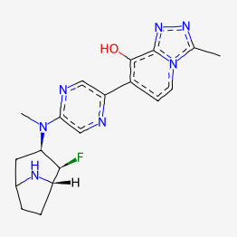 Cc1nnc2c(O)c(-c3cnc(N(C)[C@@H]4CC5CC[C@H](N5)[C@@H]4F)cn3)ccn12